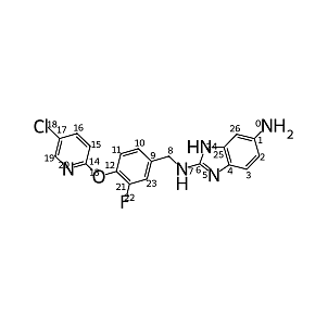 Nc1ccc2nc(NCc3ccc(Oc4ccc(Cl)cn4)c(F)c3)[nH]c2c1